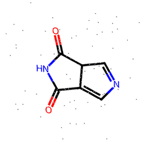 O=C1NC(=O)C2C=NC=C12